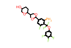 OC1CCC(C2COC(c3cc(F)c(C(F)(F)Oc4cc(F)c(F)c(F)c4)c(P)c3)OC2)OC1